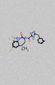 C[C@H]1C[C@H](NC(=O)c2nnc(Cc3ccccc3)[nH]2)C(=O)Nc2c(F)cc(F)cc21